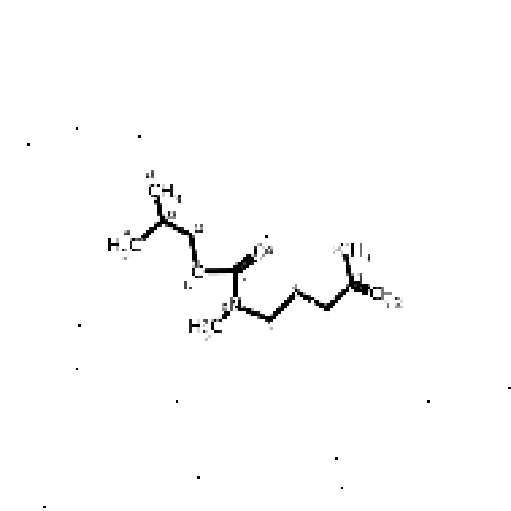 C=C(C)CCCN(C)C(=O)OCC(C)C